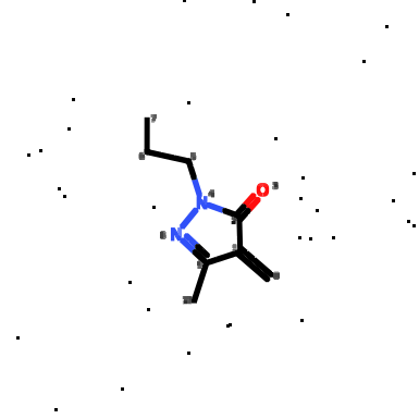 C=C1C(=O)N(CCC)N=C1C